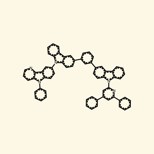 c1ccc(-c2cc(-c3ccccc3)nc(-n3c4ccccc4c4cc(-c5cccc(-c6ccc7c(c6)c6ccccc6n7-c6ccc7c(c6)c6ncccc6n7-c6ccccc6)c5)ccc43)c2)cc1